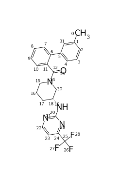 Cc1cccc(-c2ccccc2C(=O)N2CCC[C@@H](Nc3nccc(C(F)(F)F)n3)C2)c1